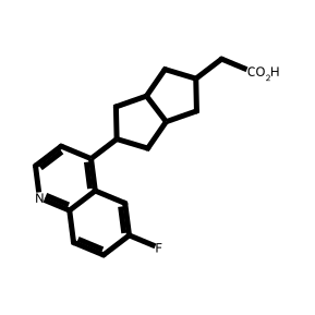 O=C(O)CC1CC2CC(c3ccnc4ccc(F)cc34)CC2C1